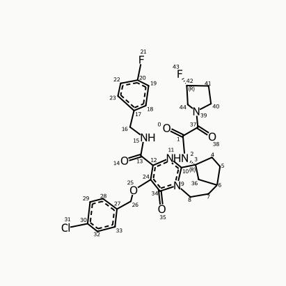 O=C(N[C@@]12CCC(CCn3c1nc(C(=O)NCc1ccc(F)cc1)c(OCc1ccc(Cl)cc1)c3=O)C2)C(=O)N1CC[C@@H](F)C1